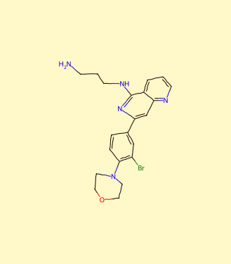 NCCCNc1nc(-c2ccc(N3CCOCC3)c(Br)c2)cc2ncccc12